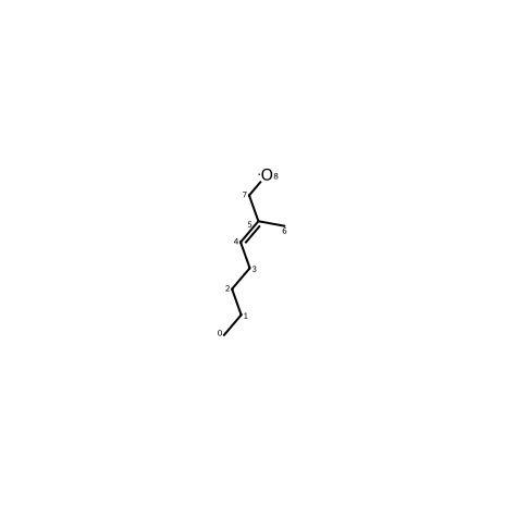 CCCC/C=C(\C)C[O]